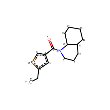 CCc1cc(C(=O)N2CCCC3CCCCC32)cs1